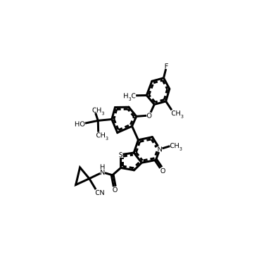 Cc1cc(F)cc(C)c1Oc1ccc(C(C)(C)O)cc1-c1cn(C)c(=O)c2cc(C(=O)NC3(C#N)CC3)sc12